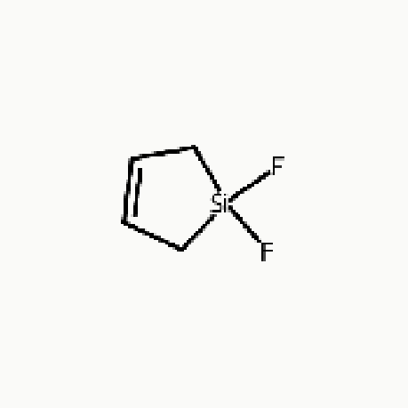 F[Si]1(F)CC=CC1